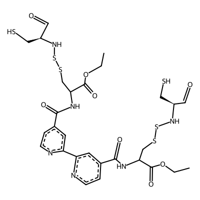 CCOC(=O)C(CSSN[C@H](C=O)CS)NC(=O)c1ccnc(-c2cc(C(=O)NC(CSSN[C@H](C=O)CS)C(=O)OCC)ccn2)c1